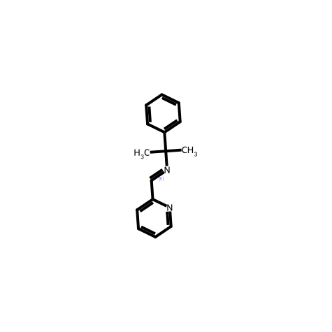 CC(C)(/N=C/c1ccccn1)c1ccccc1